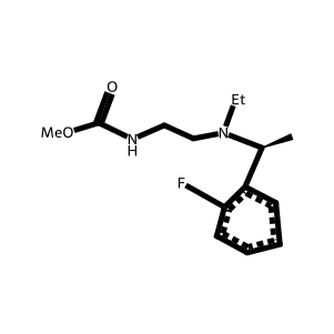 CCN(CCNC(=O)OC)[C@@H](C)c1ccccc1F